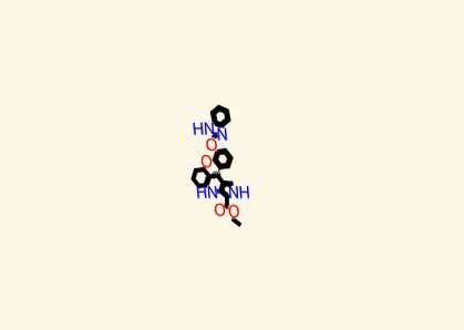 CCOC(=O)c1[nH]cc2c1NC1=C(C(=O)CCC1)[C@@H]2c1cccc(Oc2nc3ccccc3[nH]2)c1